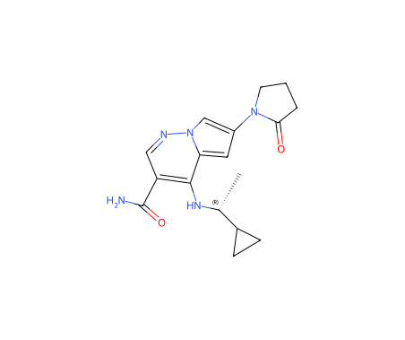 C[C@@H](Nc1c(C(N)=O)cnn2cc(N3CCCC3=O)cc12)C1CC1